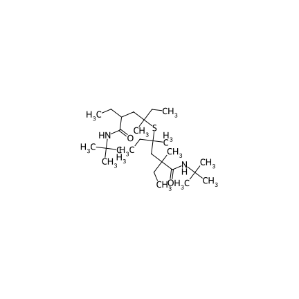 CCC(CC(C)(CC)SC(C)(CC)CC(C)(CC)C(=O)NC(C)(C)C)C(=O)NC(C)(C)C